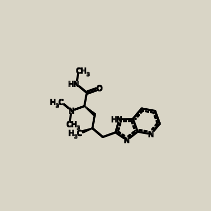 CNC(=O)[C@@H](C[C@H](C)Cc1nc2ncccc2[nH]1)N(C)C